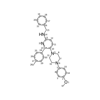 COc1ccc(N2CCN(c3ccc(NCc4ccccc4)nc3-c3ccc(C)cc3)CC2)cc1